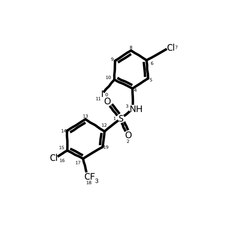 O=S(=O)(Nc1cc(Cl)ccc1I)c1ccc(Cl)c(C(F)(F)F)c1